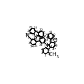 CC1CC=Cc2c1c1c(n2-c2cccc(C3=C(n4c5ccccc5c5ccccc54)C(C#N)CC=C3)c2)C2C3=C(CCC=C3)OC2C=C1